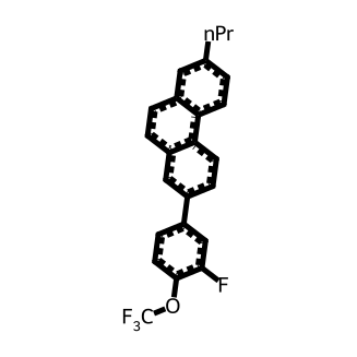 CCCc1ccc2c(ccc3cc(-c4ccc(OC(F)(F)F)c(F)c4)ccc32)c1